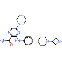 NC(=O)c1ncc(N2CCCCC2)nc1Nc1ccc(C2CCN(C3CNC3)CC2)cc1